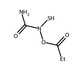 CCC(=O)ON(S)C(N)=O